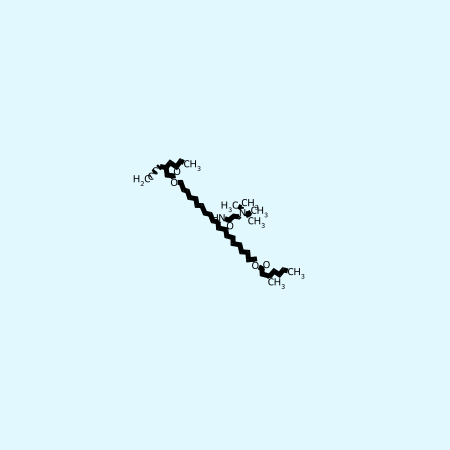 C=C=C=CC(CCCC)CC(=O)OCCCCCCCCCCC(CCCCCCCCCCOC(=O)CC(C)CCCC)NC(=O)CCN(C(C)C)C(C)C